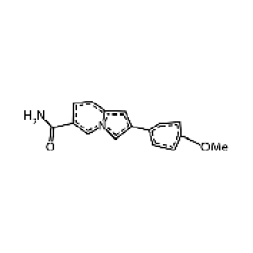 COc1ccc(-c2cc3ccc(C(N)=O)cn3c2)cc1